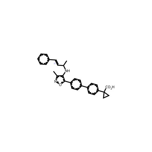 Cc1noc(-c2ccc(-c3ccc(C4(C(=O)O)CC4)cc3)cc2)c1NC(C)/C=C/c1ccccc1